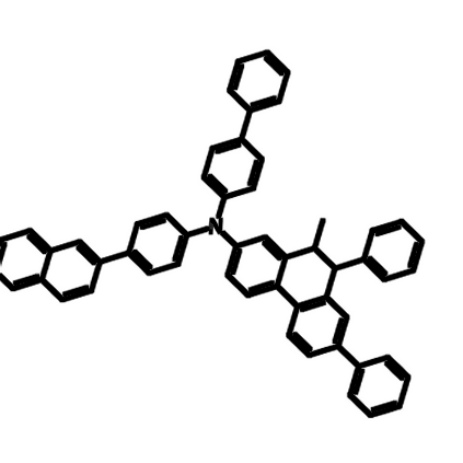 CC1c2cc(N(c3ccc(-c4ccccc4)cc3)c3ccc(-c4ccc5ccccc5c4)cc3)ccc2-c2ccc(-c3ccccc3)cc2C1c1ccccc1